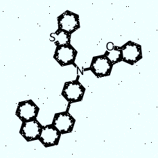 c1ccc2c(c1)ccc1ccc3ccc(-c4ccc(N(c5ccc6c(c5)oc5ccccc56)c5ccc6sc7ccccc7c6c5)cc4)cc3c12